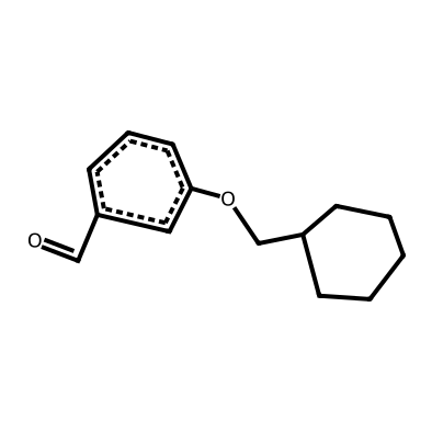 O=Cc1cccc(OCC2CCCCC2)c1